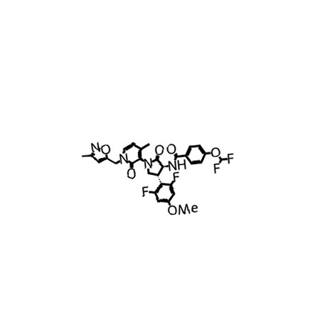 COc1cc(F)c([C@@H]2CN(c3c(C)ccn(Cc4cc(C)no4)c3=O)C(=O)[C@H]2NC(=O)c2ccc(OC(F)F)cc2)c(F)c1